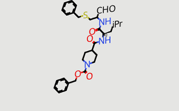 CC(C)C[C@@H](NC(=O)C1CCN(C(=O)OCc2ccccc2)CC1)C(=O)NC(C=O)CSCc1ccccc1